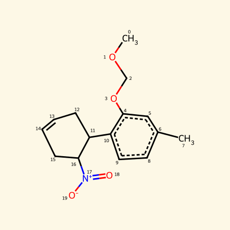 COCOc1cc(C)ccc1C1CC=CCC1[N+](=O)[O-]